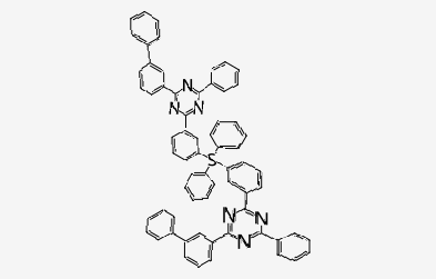 c1ccc(-c2cccc(-c3nc(-c4ccccc4)nc(-c4cccc(S(c5ccccc5)(c5ccccc5)c5cccc(-c6nc(-c7ccccc7)nc(-c7cccc(-c8ccccc8)c7)n6)c5)c4)n3)c2)cc1